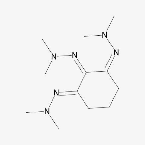 CN(C)/N=C1/CCCC(=N\N(C)C)/C1=N\N(C)C